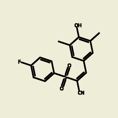 Cc1cc(/C=C(/C#N)S(=O)(=O)c2ccc(F)cc2)cc(C)c1O